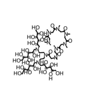 CN(C)CC(=O)N(C)CC(=O)N(C)CC(=O)N(C)CC(=O)N(C)CC(=O)N(C)CC(=O)N(C)CC(=O)N(CCN(C[C@H](O)[C@@H](O)[C@H](O)[C@H](O)CO)C[C@H](O)[C@@H](O)[C@H](O)[C@H](O)CO)CCN(C[C@H](O)[C@@H](O)[C@H](O)[C@H](O)CO)C[C@H](O)[C@@H](O)[C@H](O)[C@H](O)CO